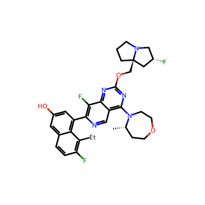 CCc1c(F)ccc2cc(O)cc(-c3ncc4c(N5CCOCC[C@@H]5C)nc(OC[C@@]56CCCN5C[C@H](F)C6)nc4c3F)c12